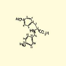 O=C(O)[C@H](Cc1ccc(O)cc1)NCc1ccc(O)cc1